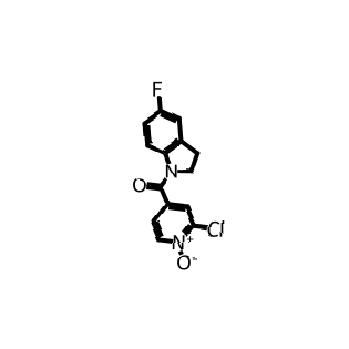 O=C(c1cc[n+]([O-])c(Cl)c1)N1CCc2cc(F)ccc21